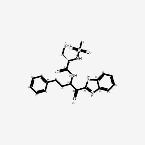 CC(C)C[C@H](NS(C)(=O)=O)C(=O)NC(CCc1ccccc1)C(=O)c1nc2ccccc2s1